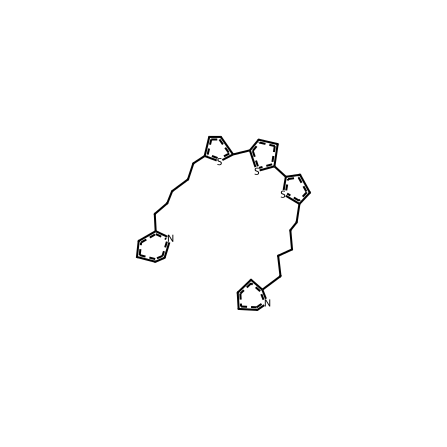 c1ccc(CCCCCc2ccc(-c3ccc(-c4ccc(CCCCCc5ccccn5)s4)s3)s2)nc1